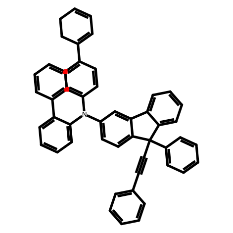 C(#CC1(c2ccccc2)c2ccccc2-c2cc(N(c3ccc(C4=CC=CCC4)cc3)c3ccccc3-c3ccccc3)ccc21)c1ccccc1